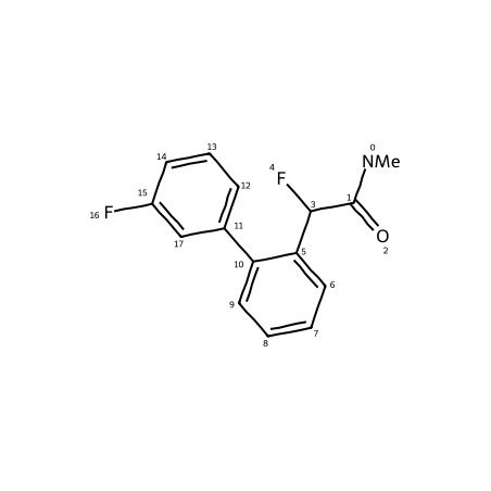 CNC(=O)C(F)c1ccccc1-c1cccc(F)c1